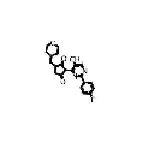 Cc1cnc(-c2ccc(Cl)cc2)nc1C1C(=O)CC(CC2CCOCC2)C1=O